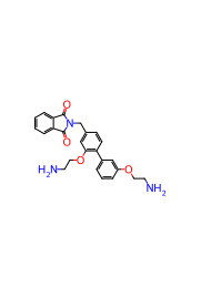 NCCOc1cccc(-c2ccc(CN3C(=O)c4ccccc4C3=O)cc2OCCN)c1